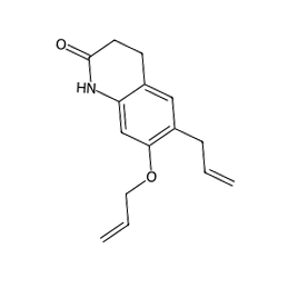 C=CCOc1cc2c(cc1CC=C)CCC(=O)N2